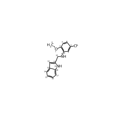 COc1ccc(Cl)cc1NCc1cc2ccccc2[nH]1